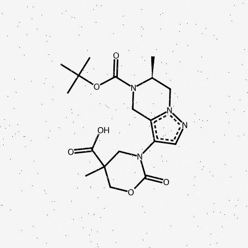 C[C@H]1Cn2ncc(N3CC(C)(C(=O)O)COC3=O)c2CN1C(=O)OC(C)(C)C